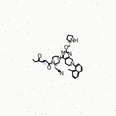 CCC(=O)/C=C/C(=O)N1CCN(c2nc(OC[C@@H]3CCCN3)nc3c2CCN(c2cccc4cccc(C)c24)C3)C[C@@H]1CC#N